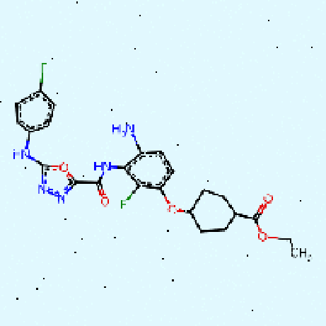 CCOC(=O)C1CCC(Oc2ccc(N)c(NC(=O)c3nnc(Nc4ccc(F)cc4)o3)c2F)CC1